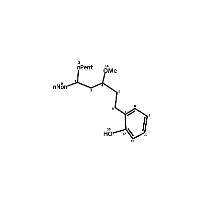 CCCCCCCCCC(CCCCC)CC(CCc1ccccc1O)OC